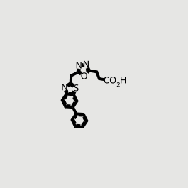 O=C(O)CCc1nnc(Cc2nc3ccc(-c4ccccc4)cc3s2)o1